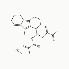 C=C(C)C(=O)[O][Ti+]([O]C(=O)C(=C)C)[CH]1CCCC2=C3CCCC=C3C(C)=C21.C[O-]